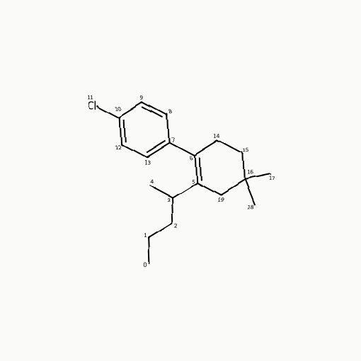 CCCC(C)C1=C(c2ccc(Cl)cc2)CCC(C)(C)C1